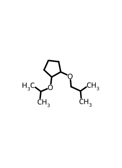 CC(C)COC1CCCC1OC(C)C